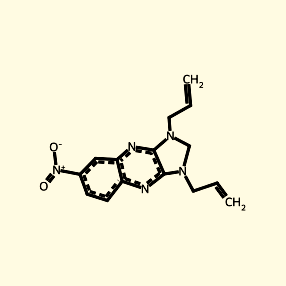 C=CCN1CN(CC=C)c2nc3cc([N+](=O)[O-])ccc3nc21